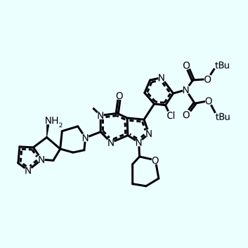 Cn1c(N2CCC3(CC2)Cn2nccc2[C@H]3N)nc2c(c(-c3ccnc(N(C(=O)OC(C)(C)C)C(=O)OC(C)(C)C)c3Cl)nn2C2CCCCO2)c1=O